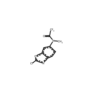 CN(C(=O)C(F)(F)F)c1ccc2nc(Cl)oc2c1